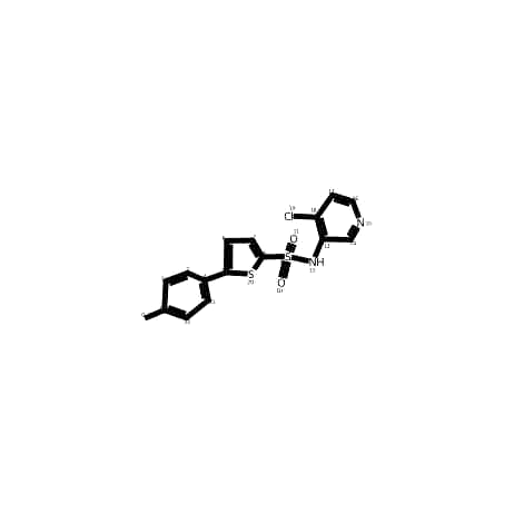 Cc1ccc(-c2ccc(S(=O)(=O)Nc3cnccc3Cl)s2)cc1